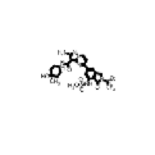 CC[C@H](N1Cc2cc(-c3ccn4nc(N)c(C(=O)N[C@H]5CC[C@](C)(O)CC5)c4n3)cc(NS(C)(=O)=O)c2C1=O)C(F)(F)F